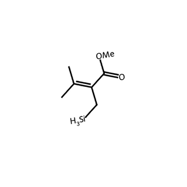 COC(=O)C(C[SiH3])=C(C)C